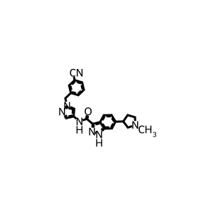 CN1CCC(c2ccc3c(C(=O)Nc4cnn(Cc5cccc(C#N)c5)c4)n[nH]c3c2)C1